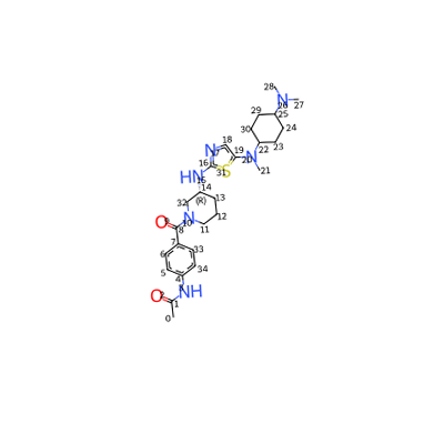 CC(=O)Nc1ccc(C(=O)N2CCC[C@@H](Nc3ncc(N(C)C4CCC(N(C)C)CC4)s3)C2)cc1